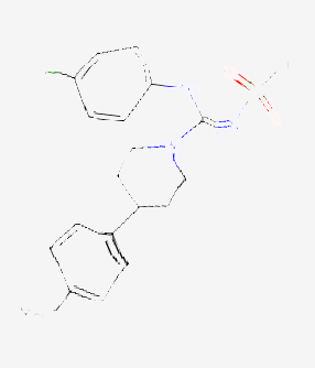 COc1ccc(C2CCN(/C(=N/S(C)(=O)=O)Nc3ccc(Cl)cc3)CC2)cc1